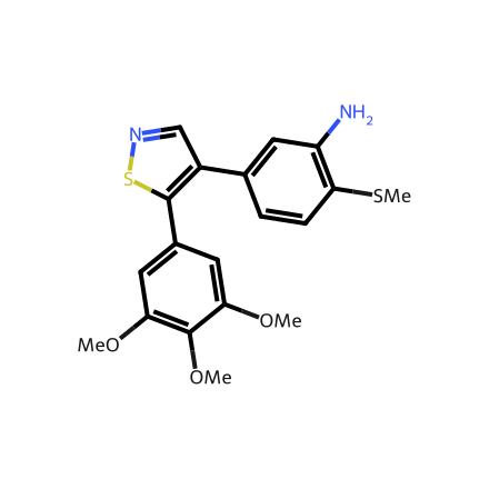 COc1cc(-c2sncc2-c2ccc(SC)c(N)c2)cc(OC)c1OC